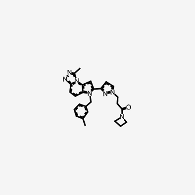 Cc1cccc(Cn2c(-c3ccn(CCC(=O)N4CCC4)n3)cc3c2ccc2nnc(C)n23)c1